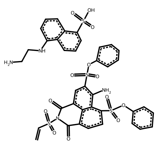 C=CS(=O)(=O)N1C(=O)c2ccc(S(=O)(=O)Oc3ccccc3)c3c(N)c(S(=O)(=O)Oc4ccccc4)cc(c23)C1=O.NCCNc1cccc2c(S(=O)(=O)O)cccc12